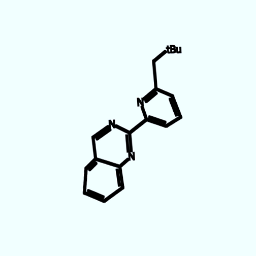 CC(C)(C)Cc1cccc(-c2ncc3ccccc3n2)n1